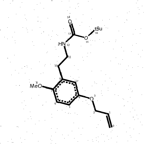 C=CCOc1ccc(OC)c(CCNC(=O)OC(C)(C)C)c1